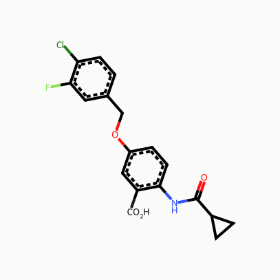 O=C(O)c1cc(OCc2ccc(Cl)c(F)c2)ccc1NC(=O)C1CC1